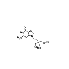 CC(C)OCC(CO)(CO)CCn1cnc2c(=O)[nH]c(N)nc21